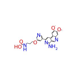 COc1cc2ncc3c(N)nc(-c4cncc(OCCCNC(=O)O)c4)cc3c2cc1OC